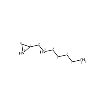 CCCCCNCC1CN1